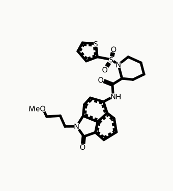 COCCCN1C(=O)c2cccc3c(NC(=O)C4CCCCN4S(=O)(=O)c4cccs4)ccc1c23